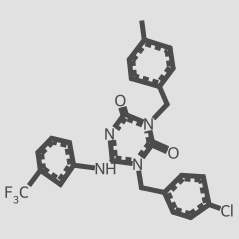 Cc1ccc(Cn2c(=O)nc(Nc3cccc(C(F)(F)F)c3)n(Cc3ccc(Cl)cc3)c2=O)cc1